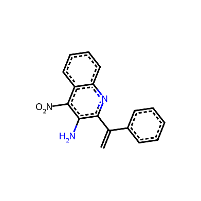 C=C(c1ccccc1)c1nc2ccccc2c([N+](=O)[O-])c1N